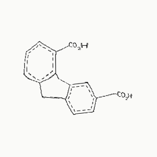 O=C(O)c1ccc2c(c1)-c1c(cccc1C(=O)O)C2